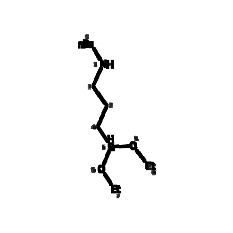 CCCCNCCC[SiH](OCC)OCC